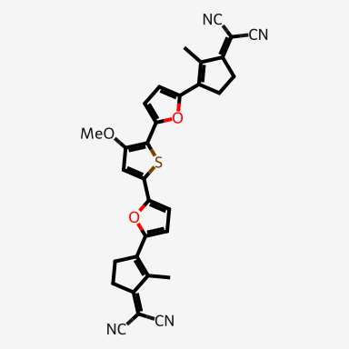 COc1cc(-c2ccc(C3=C(C)C(=C(C#N)C#N)CC3)o2)sc1-c1ccc(C2=C(C)C(=C(C#N)C#N)CC2)o1